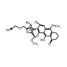 C#CCOCC12OC3c4c(Cl)cc5c(OC)c6c(c(O)c5c4O[C@](OC)(C3O1)[C@@]2(O)CBr)C(=O)CCC6